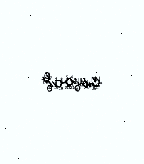 O=C(Nc1ccc(C2CCN(C(=O)C3CCOC3)CC2)cc1)C1CN(c2cccnn2)C1